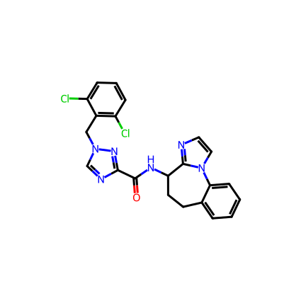 O=C(NC1CCc2ccccc2-n2ccnc21)c1ncn(Cc2c(Cl)cccc2Cl)n1